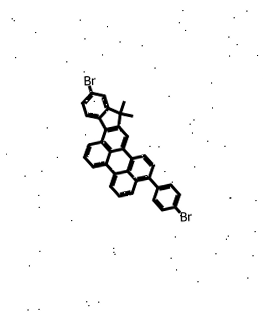 CC1(C)c2cc(Br)ccc2-c2c1cc1c3ccc(-c4ccc(Br)cc4)c4cccc(c5cccc2c51)c43